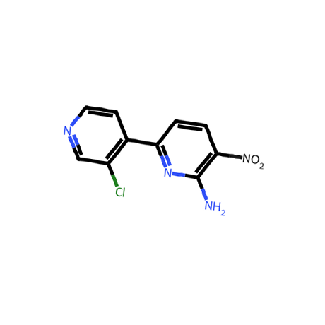 Nc1nc(-c2ccncc2Cl)ccc1[N+](=O)[O-]